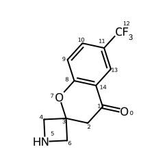 O=C1CC2(CNC2)Oc2ccc(C(F)(F)F)cc21